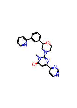 Cn1c(N2CCOC(c3cccc(-c4ccccn4)c3)C2)nc(-c2ccncn2)cc1=O